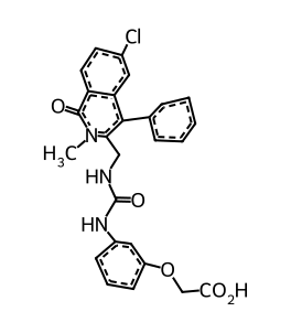 Cn1c(CNC(=O)Nc2cccc(OCC(=O)O)c2)c(-c2ccccc2)c2cc(Cl)ccc2c1=O